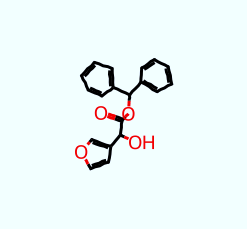 O=C(OC(c1ccccc1)c1ccccc1)C(O)c1ccoc1